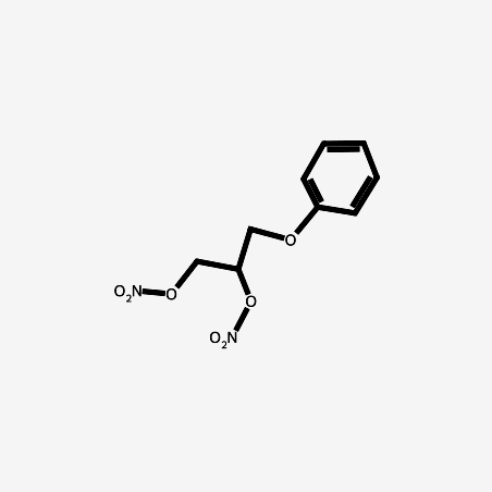 O=[N+]([O-])OCC(COc1ccccc1)O[N+](=O)[O-]